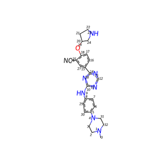 CN1CCN(c2ccc(Nc3ncnc(-c4ccc(OC5CCNC5)c(C#N)c4)n3)cc2)CC1